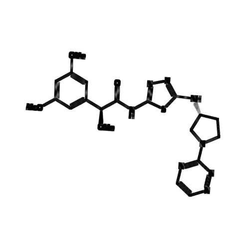 COc1cc(OC)cc([C@H](OC)C(=O)Nc2nnc(N[C@@H]3CCN(c4nccnn4)C3)s2)c1